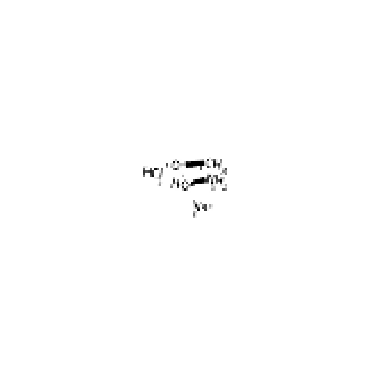 C[O-].Cl.NO.[Na+]